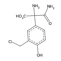 NC(=O)C(N)(C(=O)O)c1ccc(O)c(CCl)c1